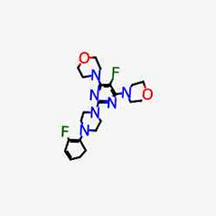 FC1=C(N2CCN(c3nc(N4CCOCC4)c(F)c(N4CCOCC4)n3)CC2)CCC=C1